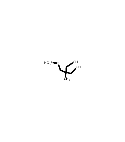 CC(CO)(CO)COS(=O)(=O)O